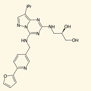 CC(C)c1cnn2c(NCc3ccc(-c4ccco4)nc3)nc(NC[C@@H](O)CO)nc12